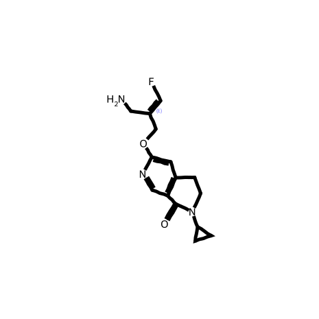 NC/C(=C\F)COc1cc2c(cn1)C(=O)N(C1CC1)CC2